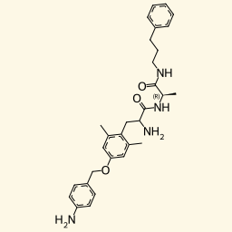 Cc1cc(OCc2ccc(N)cc2)cc(C)c1CC(N)C(=O)N[C@H](C)C(=O)NCCCc1ccccc1